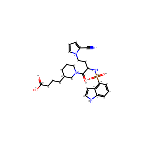 N#Cc1cccn1CCC(NS(=O)(=O)c1cccc2[nH]ccc12)C(=O)N1CCCC(CCCC(=O)O)C1